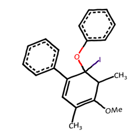 COC1=C(C)C=C(c2ccccc2)C(I)(Oc2ccccc2)C1C